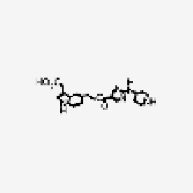 O=C(O)CC1=CNC2C=CC(CCOC(=O)c3cnc(NC4CCNCC4)nc3)=CC12